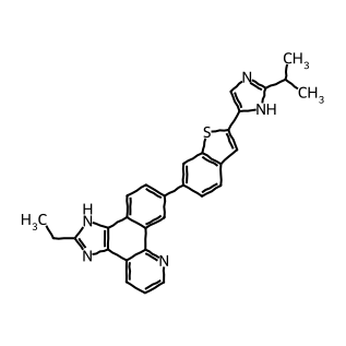 CCc1nc2c3cccnc3c3cc(-c4ccc5cc(-c6cnc(C(C)C)[nH]6)sc5c4)ccc3c2[nH]1